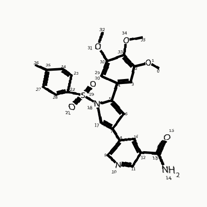 COc1cc(-c2cc(-c3cncc(C(N)=O)c3)cn2S(=O)(=O)c2ccc(C)cc2)cc(OC)c1OC